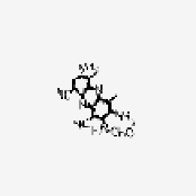 Cc1c(N)cc(C#N)c2nc3c(C#N)c(NC=O)c(N)c(C)c3nc12